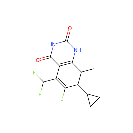 CC1c2[nH]c(=O)[nH]c(=O)c2C(C(F)F)=C(F)C1C1CC1